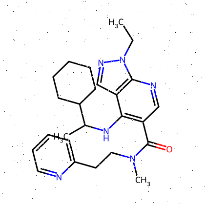 CCn1ncc2c(NC(C)C3CCCCC3)c(C(=O)N(C)CCc3ccccn3)cnc21